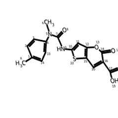 Cc1ccc(N(C)C(=O)Nc2cc3oc(=O)c(C(=O)O)cc3s2)cc1